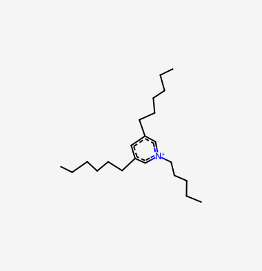 CCCCCCc1cc(CCCCCC)c[n+](CCCCC)c1